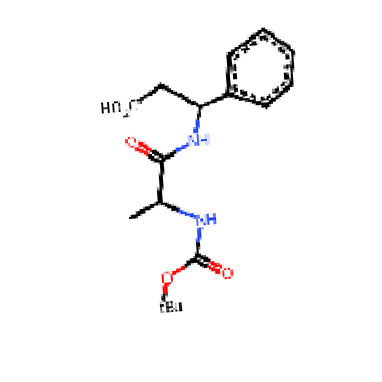 CC(NC(=O)OC(C)(C)C)C(=O)NC(CC(=O)O)c1ccccc1